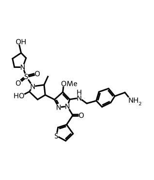 COc1c(C2CC(O)N(S(=O)(=O)N3CCC(O)C3)C2C)nn(C(=O)c2ccsc2)c1NCc1ccc(CN)cc1